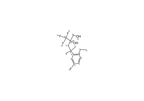 CCc1ccc(F)cc1C(C)(C)CC(O)(CO)C(F)(F)F